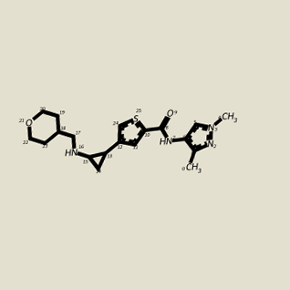 Cc1nn(C)cc1NC(=O)c1cc(C2CC2NCC2CCOCC2)cs1